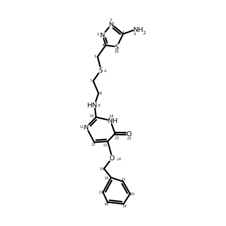 Nc1nnc(CSCCNc2ncc(OCc3ccccc3)c(=O)[nH]2)s1